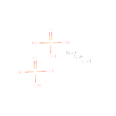 O=P(O)(O)O.O=P(O)(O)O.[CaH2].[NaH].[NaH]